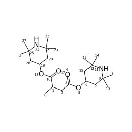 CC(CC(=O)OC1CC(C)(C)NC(C)(C)C1)C(=O)OC1CC(C)(C)NC(C)(C)C1